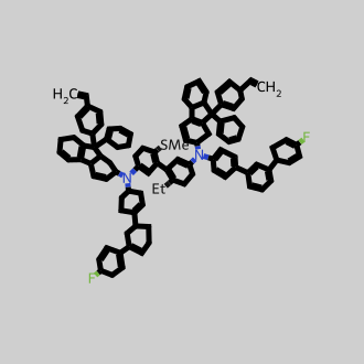 C=CC1=CCC(C2(C3=CC=CCC3)C3=C(C=CCC3)C3C=CC(N(C4=CC(C5=C(CC)CCC(N(c6ccc(-c7cccc(C8C=CC(F)=CC8)c7)cc6)C6C=CC7=C(C6)C(C6=CCC(C=C)C=C6)(C6=CC=CCC6)C6C=CC=CC76)=C5)=C(SC)CC4)C4CC=C(C5CCC=C(C6=CCC(F)C=C6)C5)CC4)CC32)C=C1